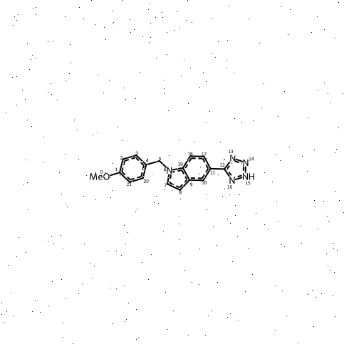 COc1ccc(Cn2ccc3cc(-c4nn[nH]n4)ccc32)cc1